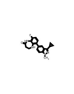 Cn1nc(C2CC2)c2cc(-c3ccc(F)c4c3NCCC(=O)N4)ccc21